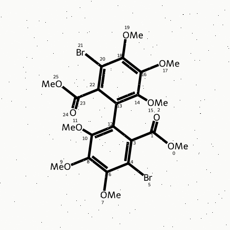 COC(=O)c1c(Br)c(OC)c(OC)c(OC)c1-c1c(OC)c(OC)c(OC)c(Br)c1C(=O)OC